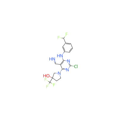 N=Cc1c(Nc2cccc(C(F)F)c2)nc(Cl)nc1N1CCC(O)(C(F)(F)F)C1